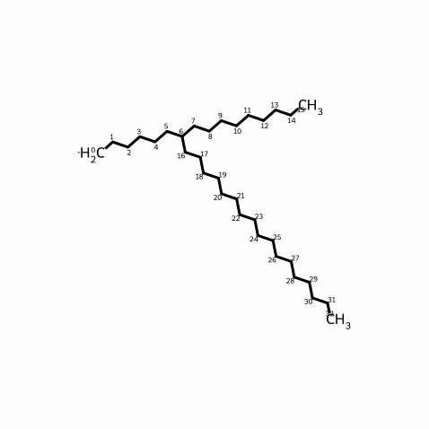 [CH2]CCCCCC(CCCCCCCCC)CCCCCCCCCCCCCCCCC